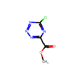 COC(=O)c1nnnc(Cl)n1